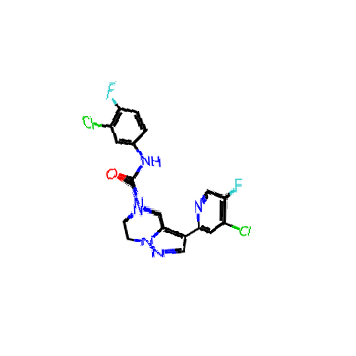 O=C(Nc1ccc(F)c(Cl)c1)N1CCn2ncc(-c3cc(Cl)c(F)cn3)c2C1